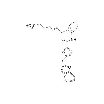 O=C(O)CCCC=CCC1C2CCC(C2)C1NC(=O)c1ccc(Cc2cc3ccccc3o2)s1